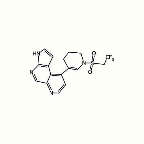 O=S(=O)(CC(F)(F)F)N1C=C(c2ccnc3cnc4[nH]ccc4c23)CCC1